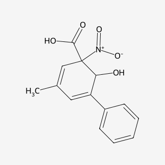 CC1=CC(C(=O)O)([N+](=O)[O-])C(O)C(c2ccccc2)=C1